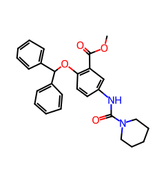 COC(=O)c1cc(NC(=O)N2CCCCC2)ccc1OC(c1ccccc1)c1ccccc1